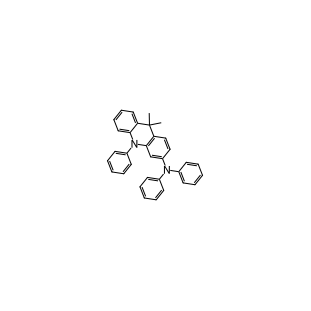 CC1(C)c2ccccc2N(c2ccccc2)c2cc(N(c3ccccc3)c3ccccc3)ccc21